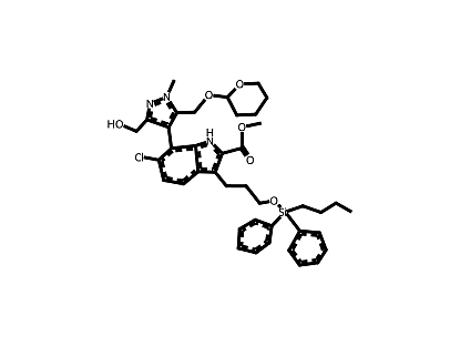 CCCC[Si](OCCCc1c(C(=O)OC)[nH]c2c(-c3c(CO)nn(C)c3COC3CCCCO3)c(Cl)ccc12)(c1ccccc1)c1ccccc1